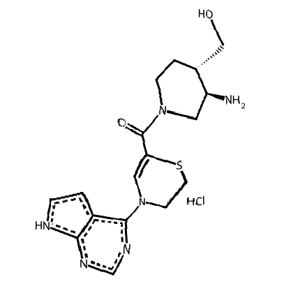 Cl.N[C@H]1CN(C(=O)C2=CN(c3ncnc4[nH]ccc34)CCS2)CC[C@@H]1CO